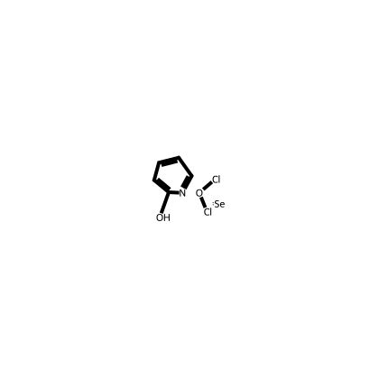 ClOCl.Oc1ccccn1.[Se]